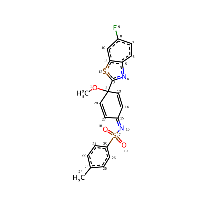 COC1(c2nc3ccc(F)cc3s2)C=CC(=NS(=O)(=O)c2ccc(C)cc2)C=C1